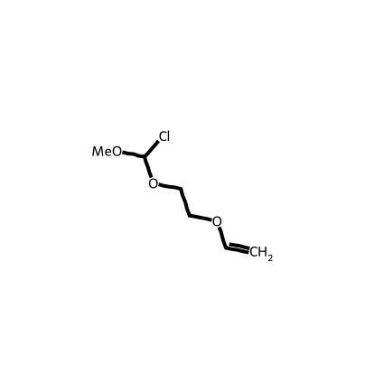 C=COCCOC(Cl)OC